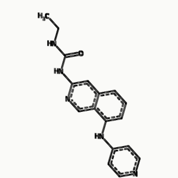 CCNC(=O)Nc1cc2cccc(Nc3ccncc3)c2cn1